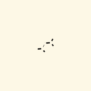 O=S(=O)=N[SH](=O)=O